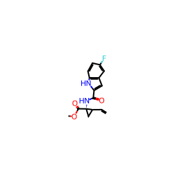 C=CC1C[C@@]1(NC(=O)c1cc2cc(F)ccc2[nH]1)C(=O)OC